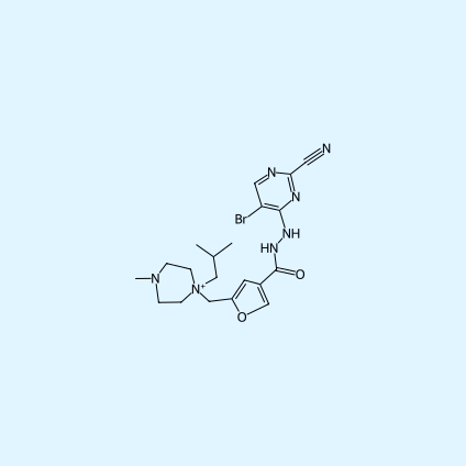 CC(C)C[N+]1(Cc2cc(C(=O)NNc3nc(C#N)ncc3Br)co2)CCN(C)CC1